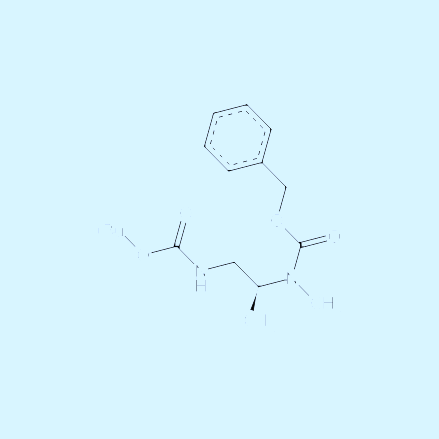 C[C@@H](CNC(=O)OC(C)(C)C)N(C)C(=O)OCc1ccccc1